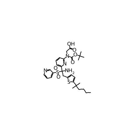 CCCCC(C)(C)c1ccc(CC(N)(c2cccc(N(CC(=O)O)C(=O)OC(C)(C)C)n2)S(=O)(=O)c2cccnc2)s1